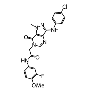 COc1ccc(NC(=O)Cn2cnc3c(Nc4ccc(Cl)cc4)nn(C)c3c2=O)cc1F